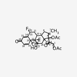 CC(=O)OCC(=O)[C@@]1(OC(C)=O)[C@@H](C)CC2C3C[C@H](F)C4=CC(=O)C=CC4(C)[C@@]3(F)[C@@H](O)CC21C